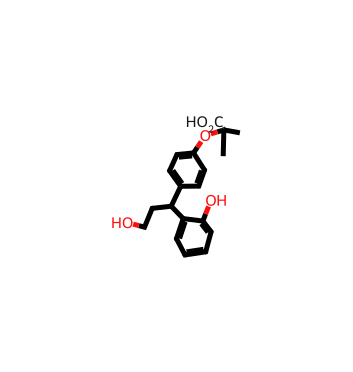 CC(C)(Oc1ccc(C(CCO)c2ccccc2O)cc1)C(=O)O